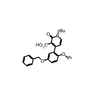 CCCCn1ccc(-c2cc(OCc3ccccc3)ccc2OC(C)C)c(C(=O)O)c1=O